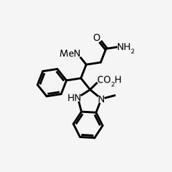 CNC(CC(N)=O)C(c1ccccc1)C1(C(=O)O)Nc2ccccc2N1C